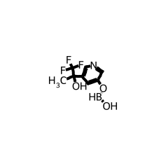 CC(O)(c1cncc(OBO)c1)C(F)(F)F